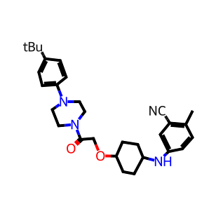 Cc1ccc(NC2CCC(OCC(=O)N3CCN(c4ccc(C(C)(C)C)cc4)CC3)CC2)cc1C#N